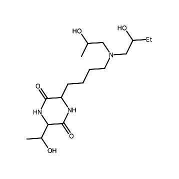 CCC(O)CN(CCCCC1NC(=O)C(C(C)O)NC1=O)CC(C)O